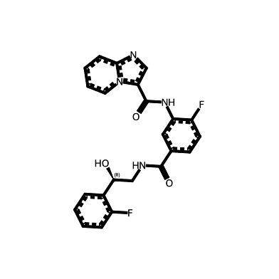 O=C(NC[C@H](O)c1ccccc1F)c1ccc(F)c(NC(=O)c2cnc3ccccn23)c1